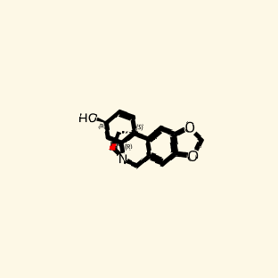 O[C@H]1C=C[C@@]23CCN(Cc4cc5c(cc42)OCO5)[C@@H]3C1